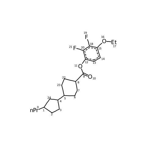 CCCC1CCC(C2CCC(C(=O)Oc3ccc(OCC)c(F)c3F)CC2)C1